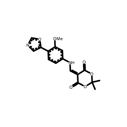 COc1cc(NC=C2C(=O)OC(C)(C)OC2=O)ccc1-c1cnco1